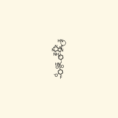 COc1cc(S(=O)(=O)NCc2ccc(-c3nn([C@@H]4CCCNC4)c4ncnc(N)c34)cc2)ccc1F